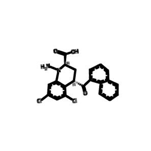 NN1c2cc(Cl)cc(Cl)c2[C@@H](C(=O)c2cccc3ccccc23)C[C@@H]1C(=O)O